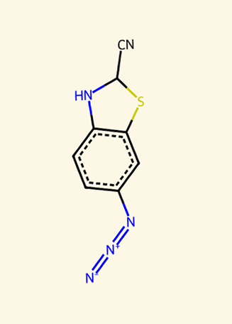 N#CC1Nc2ccc(N=[N+]=[N-])cc2S1